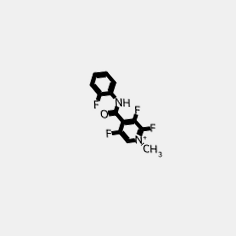 C[n+]1cc(F)c(C(=O)Nc2ccccc2F)c(F)c1F